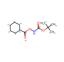 CC(C)(C)OC(=O)NOC(=O)C1CCCCC1